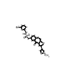 Cn1cc(-c2cnc3ccc4ccc(CS(=O)(=O)NCc5cccc(Br)n5)cc4c(=O)c3c2)cn1